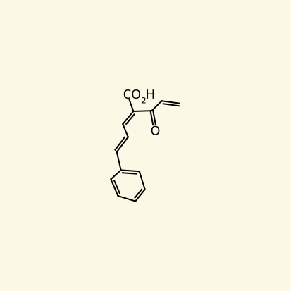 C=CC(=O)/C(=C\C=C\c1ccccc1)C(=O)O